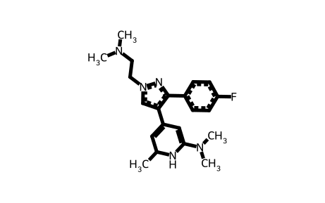 CC1C=C(c2cn(CCN(C)C)nc2-c2ccc(F)cc2)C=C(N(C)C)N1